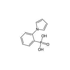 O=P(O)(O)c1ccccc1-n1cccc1